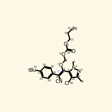 Cc1nn(C)c(/C(OCOC(=O)OCCC(C)C)=C(\C#N)c2ccc(C(C)(C)C)cc2)c1Cl